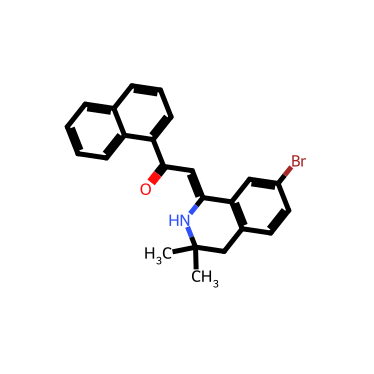 CC1(C)Cc2ccc(Br)cc2C(=CC(=O)c2cccc3ccccc23)N1